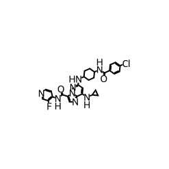 O=C(NC1CCC(Nc2cc(NC3CC3)c3ncc(C(=O)Nc4ccncc4F)n3n2)CC1)c1ccc(Cl)cc1